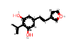 C=C(C)c1c(O)cc(C=Cc2ccoc2)cc1O